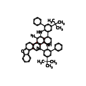 [2H]c1c(Nc2c(-c3ccccc3)cc(C(C)(C)C)cc2-c2ccccc2)cc(Nc2c(-c3ccccc3)cc(C(C)(C)C)cc2-c2ccccc2)c([2H])c1-c1ccc2oc3ccccc3c2c1